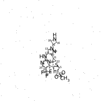 CS(=O)(=O)c1csc(-c2nc(Nc3cn(C4CNC4)nc3C3CC3)ncc2C(F)(F)F)c1